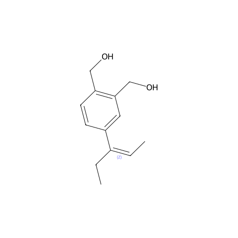 C/C=C(/CC)c1ccc(CO)c(CO)c1